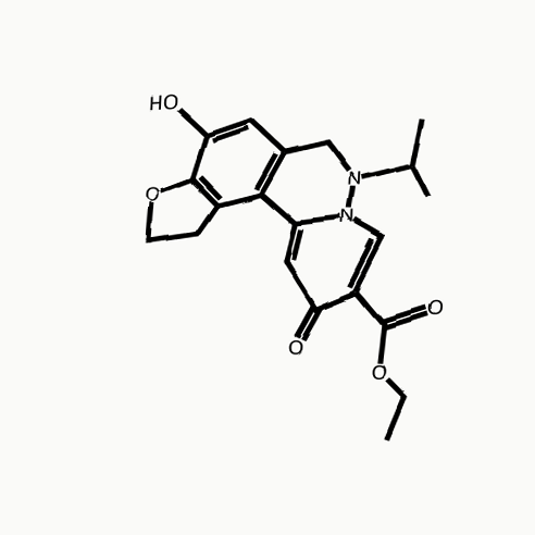 CCOC(=O)c1cn2c(cc1=O)-c1c(cc(O)c3c1CCO3)CN2C(C)C